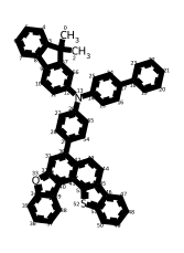 CC1(C)c2ccccc2-c2ccc(N(c3ccc(-c4ccccc4)cc3)c3ccc(-c4cc5oc6ccccc6c5c5c4ccc4c6ccccc6sc45)cc3)cc21